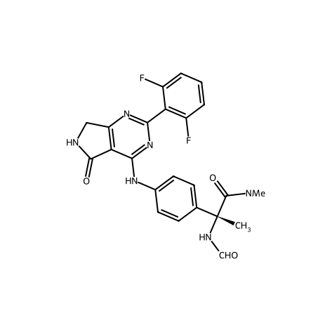 CNC(=O)[C@](C)(NC=O)c1ccc(Nc2nc(-c3c(F)cccc3F)nc3c2C(=O)NC3)cc1